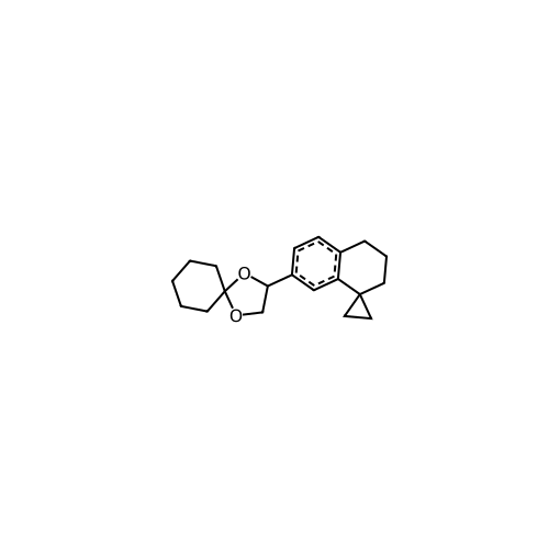 c1cc2c(cc1C1COC3(CCCCC3)O1)C1(CCC2)CC1